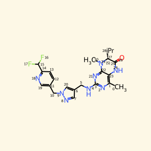 Cc1nc(NCc2cnn(Cc3ccc(C(F)F)nc3)c2)nc2c1NC(=O)[C@H](C(C)C)N2C